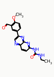 CCNC(=O)Nc1ccc2ncc(-c3ccc(OC)c(C=O)c3)nc2n1